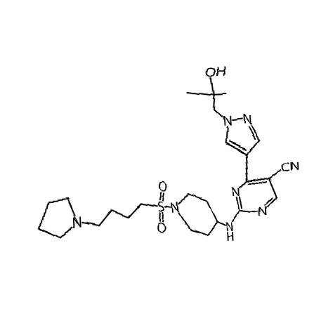 CC(C)(O)Cn1cc(-c2nc(NC3CCN(S(=O)(=O)CCCCN4CCCC4)CC3)ncc2C#N)cn1